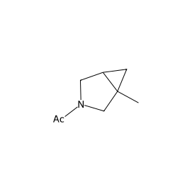 CC(=O)N1CC2CC2(C)C1